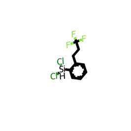 FC(F)(F)CCc1ccccc1[SiH](Cl)Cl